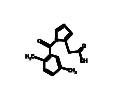 Cc1ccc(C)c(C(=O)n2cccc2CC(=O)O)c1